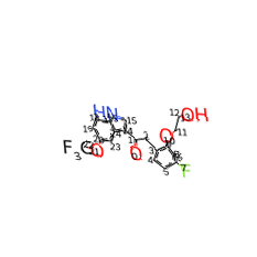 O=C(Cc1ccc(F)cc1OCCO)c1c[nH]c2ccc(OC(F)(F)F)cc12